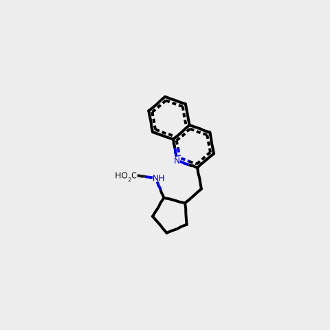 O=C(O)NC1CCCC1Cc1ccc2ccccc2n1